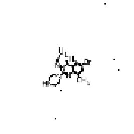 C/C=N\N1C(N2CCNCC2)=Nc2c(C)cc(Br)cc2C1C